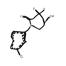 O=C1N(c2cccc(Cl)c2)C[C@H](O)C1(F)F